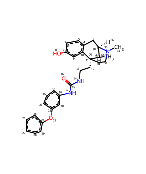 C[C@H]1[C@H]2Cc3ccc(O)cc3[C@]1(CCNC(=O)Nc1cccc(Oc3ccccc3)c1)CCN2C